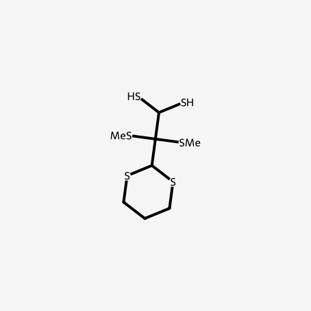 CSC(SC)(C(S)S)C1SCCCS1